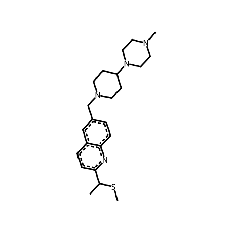 CSC(C)c1ccc2cc(CN3CCC(N4CCN(C)CC4)CC3)ccc2n1